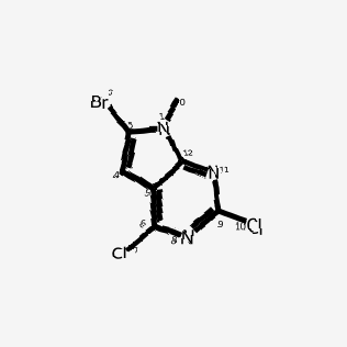 Cn1c(Br)cc2c(Cl)nc(Cl)nc21